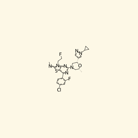 C/N=c1/sc2c(-c3ccc(Cl)cc3F)nc(N3C[C@@H](C)O[C@@H](c4cnn(C5CC5)c4)C3)nc2n1CCF